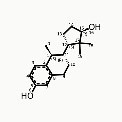 C[C@@H]1c2ccc(O)cc2CC[C@H]1[C@@H]1CC[C@@H](O)C1(C)C